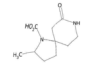 CC1CCC2(CCNC(=O)C2)N1C(=O)O